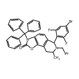 CC(C)CN1C(C)Cc2c(ccc3c2oc(=O)n3C(c2ccccc2)(c2ccccc2)c2ccccc2)C1c1c(F)cc(Br)cc1F